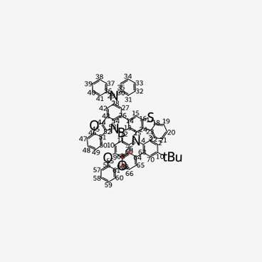 CC(C)(C)c1ccc(N2c3cc4c(cc3B3c5c(cc6sc7ccccc7c6c52)-c2cc(N(c5ccccc5)c5ccccc5)cc5c6oc7ccccc7c6n3c25)Oc2ccccc2O4)c(-c2ccccc2)c1